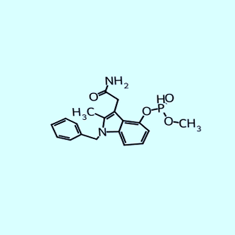 CO[PH](=O)Oc1cccc2c1c(CC(N)=O)c(C)n2Cc1ccccc1